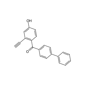 C#Cc1cc(O)ccc1C(=O)c1ccc(-c2ccccc2)cc1